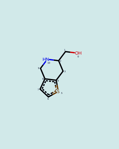 OCC1Cc2sccc2CN1